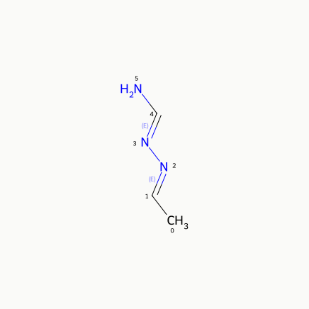 C/C=N/N=C/N